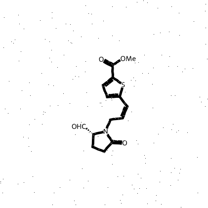 COC(=O)c1ccc(/C=C\CN2C(=O)CC[C@@H]2C=O)s1